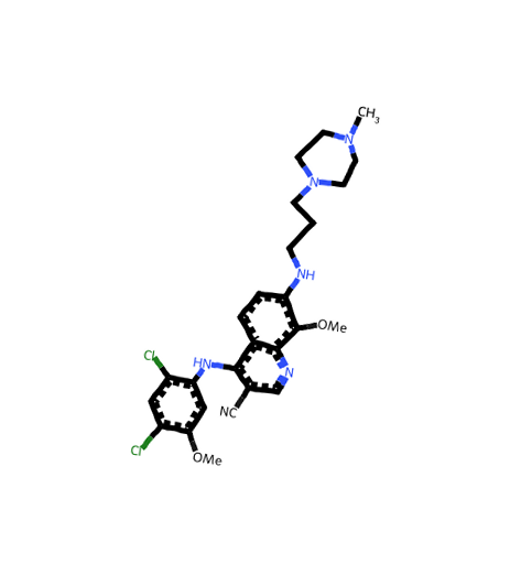 COc1cc(Nc2c(C#N)cnc3c(OC)c(NCCCN4CCN(C)CC4)ccc23)c(Cl)cc1Cl